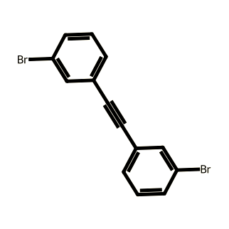 Brc1cccc(C#Cc2cccc(Br)c2)c1